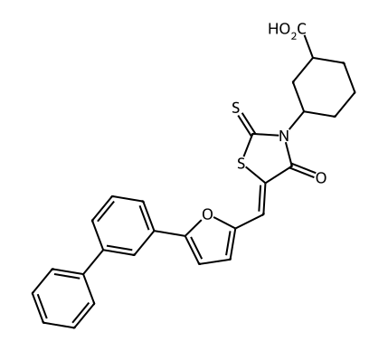 O=C(O)C1CCCC(N2C(=O)C(=Cc3ccc(-c4cccc(-c5ccccc5)c4)o3)SC2=S)C1